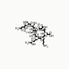 C[C@@H](O)[C@H](NC(=O)[C@H](CCC(=O)O)NC(=O)[C@H](CCCCN)NC(=O)[C@H](CCCNC(=N)N)NC(=O)[C@H](CS)NC(=O)[C@H](CS)NC(=O)[C@H](CS)NC(=O)[C@H](CS)NC(=O)[C@@H](N)CC(N)=O)C(=O)O